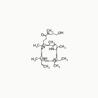 C=Cc1c(C)c2cc3nc(c(C)c4cc(C)c(cc5nc(cc1[nH]2)C(C)=C5CC)[nH]4)C(CCC(=O)N(C)CCCO)=C3C